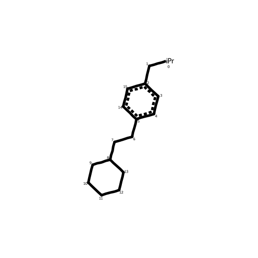 CC(C)Cc1ccc(CCC2CCCCC2)cc1